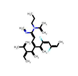 C=N/C(=C\C=C(\C(=C)/C(=C\C)C(=C)C)C(=C)/C(F)=C\C(F)=C/C)N(CCC)C(=C)C